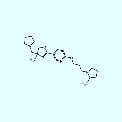 CC1CCCN1CCCOc1ccc(C2=NC(C)(CN3CCCC3)CO2)cn1